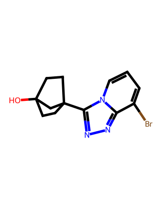 OC12CCC(c3nnc4c(Br)cccn34)(CC1)C2